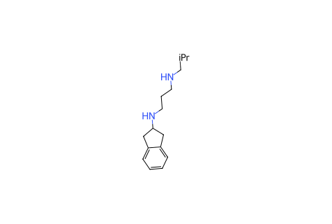 CC(C)CNCCCNC1Cc2ccccc2C1